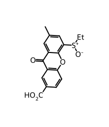 CC[S+]([O-])c1cc(C)cc2c(=O)c3cc(C(=O)O)ccc3oc12